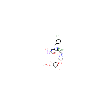 CCOC(=O)Cc1ccc(OC2CCN(CC(O)(c3cn(Cc4cccc(Cl)c4)c4cc([N+](=O)[O-])ccc34)C(F)(F)F)CC2)c(OC)c1